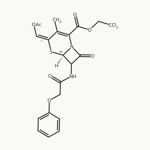 CC(=O)O/C=C1/S[C@@H]2C(NC(=O)COc3ccccc3)C(=O)N2C(C(=O)OCC(Cl)(Cl)Cl)=C1C